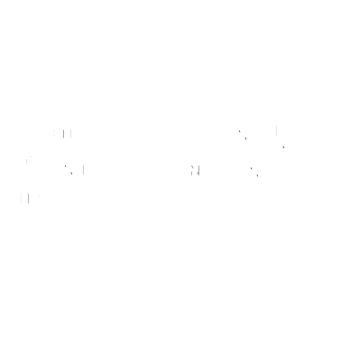 CC(=O)NC(C)Cc1ccc(C2CN(c3cnc(NC4CCC4)nc3)C2)cc1